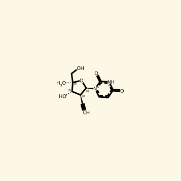 C#C[C@@H]1[C@H](n2ccc(=O)[nH]c2=O)O[C@](C)(CO)[C@H]1O